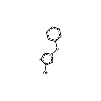 Oc1cn(Oc2ccccc2)cn1